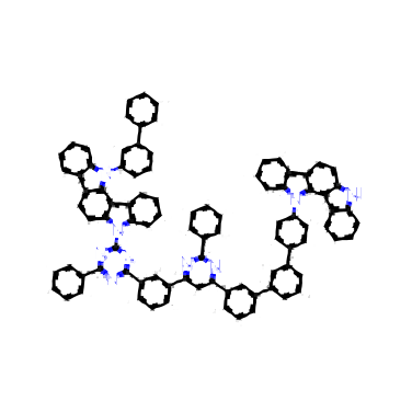 c1ccc(-c2cccc(-n3c4ccccc4c4ccc5c(c6ccccc6n5-c5nc(-c6ccccc6)nc(-c6cccc(-c7cc(-c8cccc(-c9cccc(-c%10ccc(-n%11c%12ccccc%12c%12ccc%13[nH]c%14ccccc%14c%13c%12%11)cc%10)c9)c8)nc(-c8ccccc8)n7)c6)n5)c43)c2)cc1